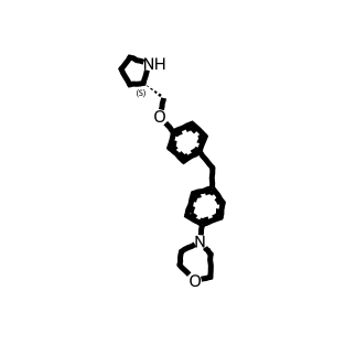 c1cc(OC[C@@H]2CCCN2)ccc1Cc1ccc(N2CCOCC2)cc1